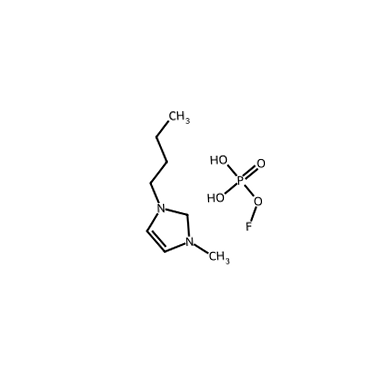 CCCCN1C=CN(C)C1.O=P(O)(O)OF